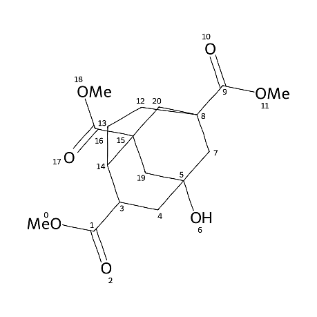 COC(=O)C1CC2(O)CC3(C(=O)OC)CCC1C(C(=O)OC)(C2)C3